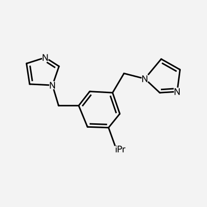 CC(C)c1cc(Cn2ccnc2)cc(Cn2ccnc2)c1